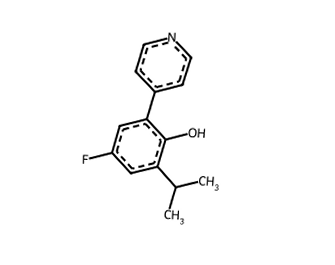 CC(C)c1cc(F)cc(-c2ccncc2)c1O